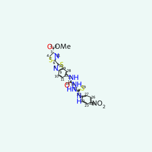 COC(=O)[C@H]1CSC(c2nc3ccc(NC(=O)NNC(=S)Nc4ccc([N+](=O)[O-])cc4)cc3s2)=N1